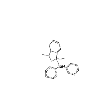 CC1CC(C)([SiH](c2ccccc2)c2ccccc2)C2=CC=CCC21